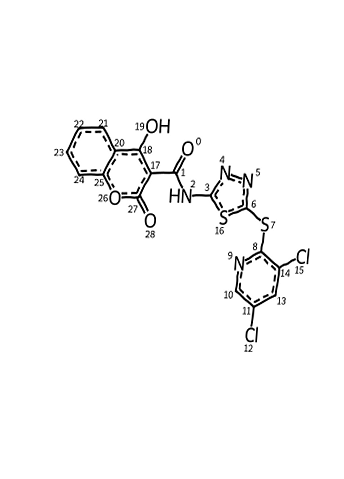 O=C(Nc1nnc(Sc2ncc(Cl)cc2Cl)s1)c1c(O)c2ccccc2oc1=O